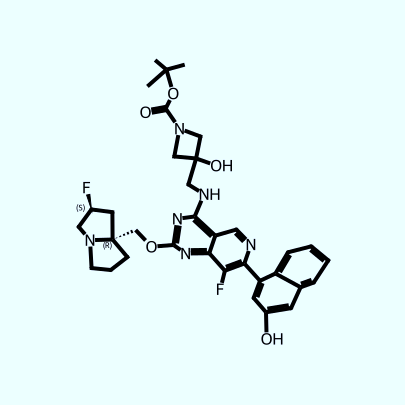 CC(C)(C)OC(=O)N1CC(O)(CNc2nc(OC[C@]34CCCN3C[C@@H](F)C4)nc3c(F)c(-c4cc(O)cc5ccccc45)ncc23)C1